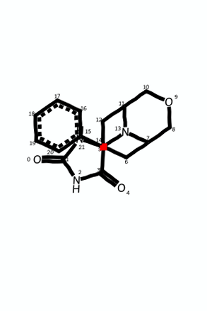 O=C1NC(=O)C2(CC3COCC(C2)N3Cc2ccccc2)N1